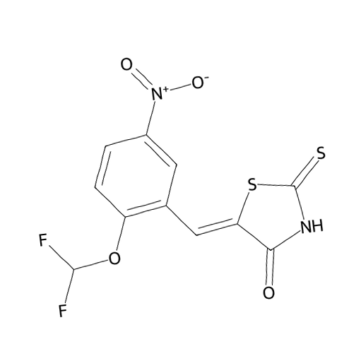 O=C1NC(=S)S/C1=C\c1cc([N+](=O)[O-])ccc1OC(F)F